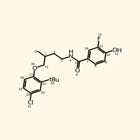 CC(CCNC(=O)c1ccc(O)c(F)c1)COc1ccc(Cl)cc1C(C)(C)C